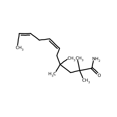 C/C=C\C/C=C\CC(C)(C)CC(C)(C)C(N)=O